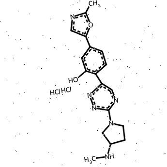 CNC1CCN(c2ncc(-c3ccc(-c4cnc(C)o4)cc3O)nn2)C1.Cl.Cl